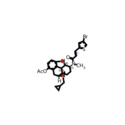 CC(=O)Oc1ccc2c3c1C[C@@H]1[C@@H]4CC[C@H](N(C)C(=O)/C=C/c5cc(Br)cs5)[C@H](O2)[C@]34CCN1CC1CC1